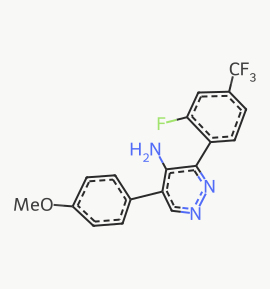 COc1ccc(-c2cnnc(-c3ccc(C(F)(F)F)cc3F)c2N)cc1